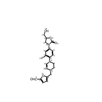 O=Cc1ccc(CN2CCN(c3ccc(N4CC(CO)OC4=O)cc3F)C=N2)o1